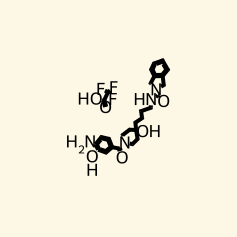 Nc1ccc(C(=O)N2CCC(O)(CCCCNC(=O)N3Cc4ccccc4C3)CC2)cc1O.O=C(O)C(F)(F)F